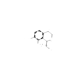 CCCc1ccc2c(c1OC)C(CBr)OCC2